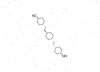 CCC[C@H]1CC[C@H](CC[C@H]2CC[C@H](CC[C@H]3CC[C@H](C#N)CC3)CC2)CC1